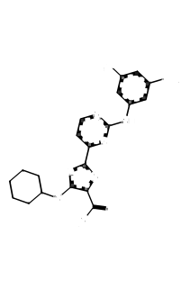 Cc1cc(C)cc(Nc2nccc(-c3nc(C(N)=O)c(NC4CCCCC4)s3)n2)c1